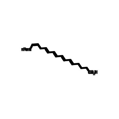 CCCCC/C=C\C/C=C/C=C/C=C/C=C/CCCC(=O)O